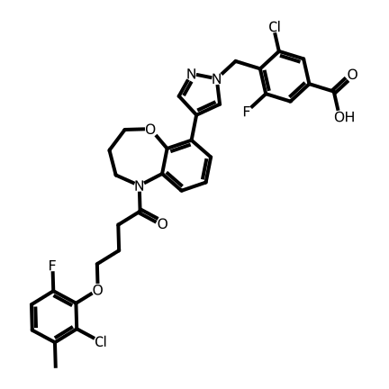 Cc1ccc(F)c(OCCCC(=O)N2CCCOc3c(-c4cnn(Cc5c(F)cc(C(=O)O)cc5Cl)c4)cccc32)c1Cl